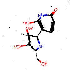 C[C@@]1(O)[C@H](O)[C@@H](CO)N[C@H]1c1ccc(=O)[nH]c1O